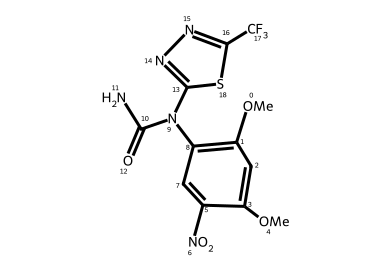 COc1cc(OC)c([N+](=O)[O-])cc1N(C(N)=O)c1nnc(C(F)(F)F)s1